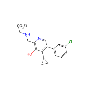 CCOC(=O)CNCc1ncc(-c2cccc(Cl)c2)c(C2CC2)c1O